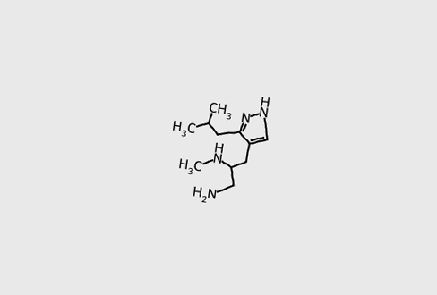 CNC(CN)Cc1c[nH]nc1CC(C)C